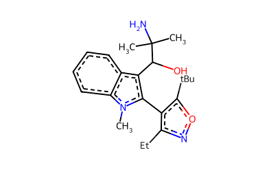 CCc1noc(C(C)(C)C)c1-c1c(C(O)C(C)(C)N)c2ccccc2n1C